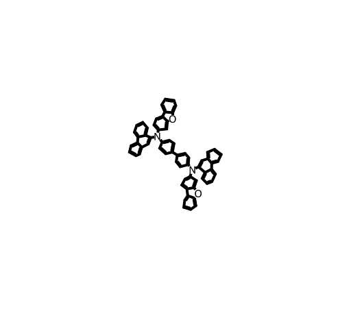 c1ccc2c(c1)cc(N(c1ccc(-c3ccc(N(c4ccc5c(c4)oc4ccccc45)c4cc5ccccc5c5ccccc45)cc3)cc1)c1ccc3c(c1)oc1ccccc13)c1ccccc12